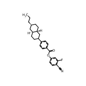 CCC[C@H]1CC[C@@H]2CC(c3ccc(C(=O)Oc4ccc(C#N)c(F)c4)cc3)CC[C@H]2C1